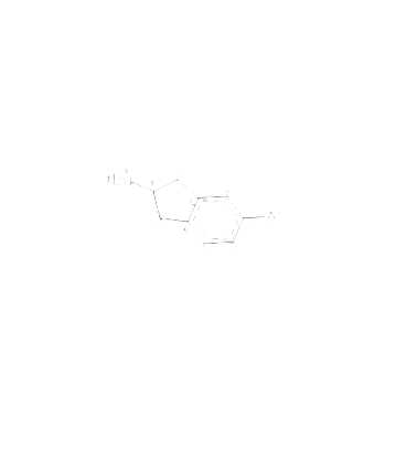 CC(=O)c1ccc2c(c1)CC(C(C)(C)C)C2